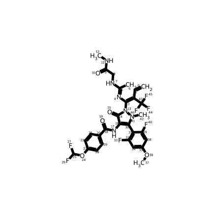 C=C/C(=C(\N=C(/C)NCC(=O)NC)n1c(=O)c(NC(=O)c2ccc(OC(F)F)cc2)c(-c2c(F)cc(OC)cc2F)n1C)C(F)(F)F